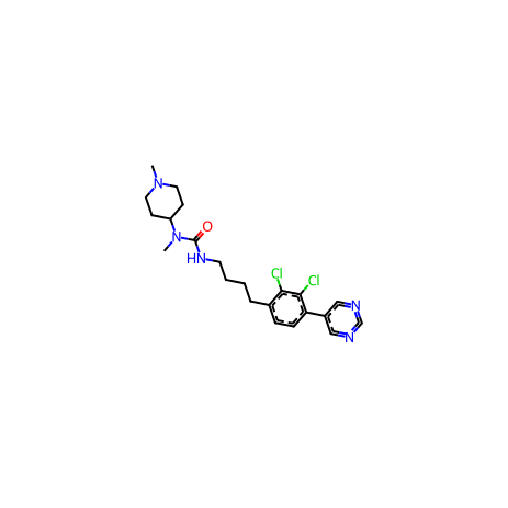 CN1CCC(N(C)C(=O)NCCCCc2ccc(-c3cncnc3)c(Cl)c2Cl)CC1